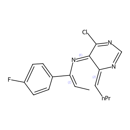 C\C=C(/N=C1/C(Cl)=NC=N/C1=C\CCC)c1ccc(F)cc1